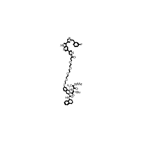 CN[C@H](C)C(=O)N[C@@H](C(=O)N1Cc2cc(OCCOCCOCCOCCOCCC(=O)n3cc(-c4cnc5[nH]cc(-c6cnn(Cc7cccc(F)c7)c6)c5c4)cn3)ccc2C[C@@H]1C(=O)N[C@H]1CCCc2ccccc21)C(C)(C)C